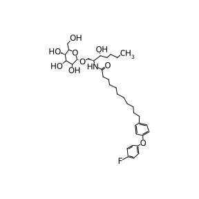 CCCC[C@@H](O)[C@H](CO[C@H]1OC(CO)[C@H](O)C(O)C1O)NC(=O)CCCCCCCCCCc1ccc(Oc2ccc(F)cc2)cc1